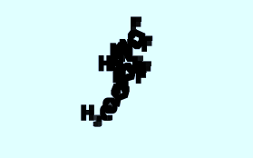 COCC1CCN(c2cc(C(F)(F)F)cc(Nc3ncn(-c4cc(F)cc(F)c4)n3)n2)CC1